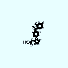 Cc1ccc(C(=O)c2ccc(N3CCCC3CC(=O)O)cc2)c(C)c1